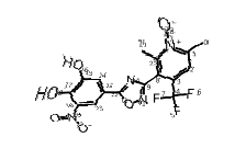 Cc1cc(C(F)(F)F)c(-c2noc(-c3cc(O)c(O)c([N+](=O)[O-])c3)n2)c(C)[n+]1[O-]